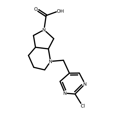 O=C(O)N1CC2CCCN(Cc3cnc(Cl)nc3)C2C1